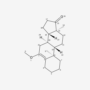 COC1=C2CCCC[C@]2(C)[C@H]2CC[C@]3(C)C(=O)CC[C@H]3[C@@H]2C1